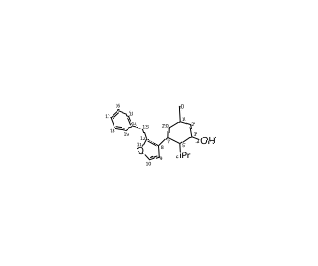 CC1CC(O)C(C(C)C)C(c2ccoc2Cc2ccccc2)C1